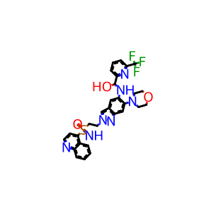 N=S(=O)(CCn1cc2cc(NC(O)c3cccc(C(F)(F)F)n3)c(N3CCOCC3)cc2n1)c1ccnc2ccccc12